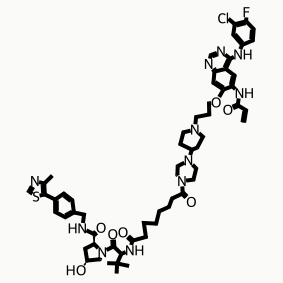 C=CC(=O)Nc1cc2c(Nc3ccc(F)c(Cl)c3)ncnc2cc1OCCCN1CCC(N2CCN(C(=O)CCCCCCC(=O)NC(C(=O)N3C[C@H](O)C[C@H]3C(=O)NCc3ccc(-c4scnc4C)cc3)C(C)(C)C)CC2)CC1